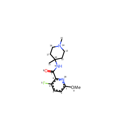 COc1ccc(F)c(C(=O)NC2(C)CCN(C)CC2)n1